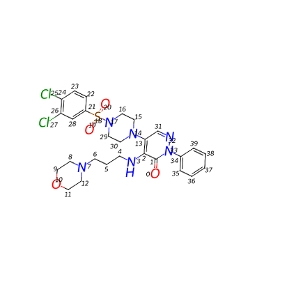 O=c1c(NCCCN2CCOCC2)c(N2CCN(S(=O)(=O)c3ccc(Cl)c(Cl)c3)CC2)cnn1-c1ccccc1